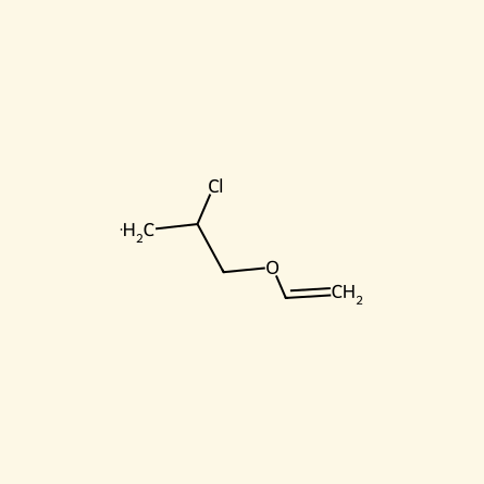 [CH2]C(Cl)COC=C